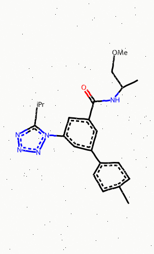 COCC(C)NC(=O)c1cc(-c2ccc(C)cc2)cc(-n2nnnc2C(C)C)c1